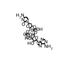 Nc1ccn([C@H]2C[C@H](OP(=O)(O)OCC3O[C@@H](n4cnc5c(N)ncnc54)[C@H](O)[C@@H]3O)[C@@H](COP(=O)(O)O)O2)c(=O)n1